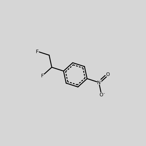 O=[N+]([O-])c1ccc(C(F)CF)cc1